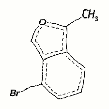 Cc1occ2c(Br)cccc12